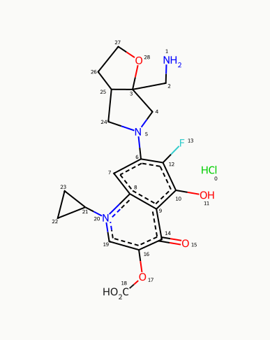 Cl.NCC12CN(c3cc4c(c(O)c3F)c(=O)c(OC(=O)O)cn4C3CC3)CC1CCO2